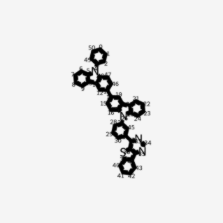 c1ccc(-n2c3ccccc3c3cc(-c4ccc5c(c4)c4ccccc4n5-c4cccc(-c5ncnc6c5sc5ccccc56)c4)ccc32)cc1